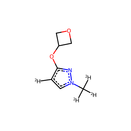 [2H]c1cn(C([2H])([2H])[2H])nc1OC1COC1